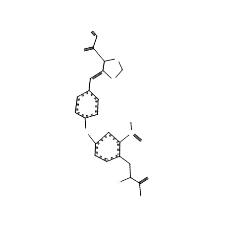 NC(Cc1ccc(Oc2ccc(C=C3SCNC3C(=O)C=O)cc2)cc1[N+](=O)[O-])C(=O)O